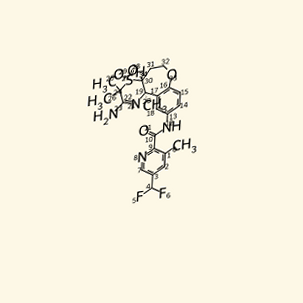 Cc1cc(C(F)F)cnc1C(=O)Nc1ccc2c(c1)[C@@]1(C)N=C(N)C(C)(C)S(=O)(=O)[C@@H]1CCO2